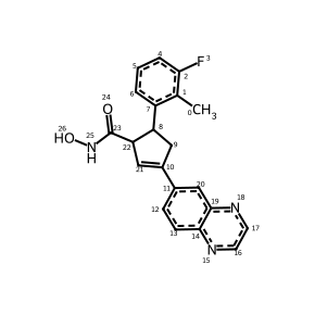 Cc1c(F)cccc1C1CC(c2ccc3nccnc3c2)=CC1C(=O)NO